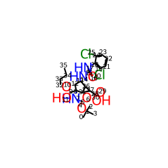 CC(C)(C)OC(=O)NC1(C(=O)O)CC(NC(=O)Nc2c(Cl)cccc2Cl)C2C(C(=O)O)C21.CCCC